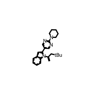 C=C(CC(C)(C)C)n1c(-c2cnc(N3CCCCC3)nc2)cc2ccccc21